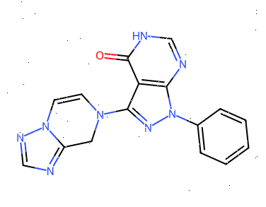 O=c1[nH]cnc2c1c(N1C=Cn3ncnc3C1)nn2-c1ccccc1